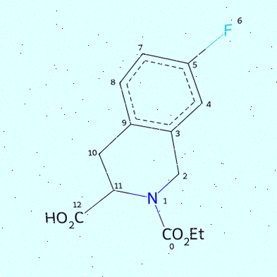 CCOC(=O)N1Cc2cc(F)ccc2CC1C(=O)O